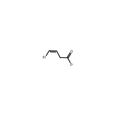 CC/C=C\CC([O])=O